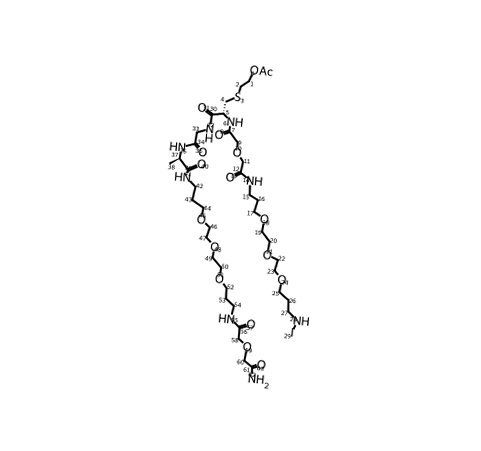 CC(=O)OCCSC[C@H](NC(=O)COCC(=O)NCCCOCCOCCOCCCNI)C(=O)NCC(=O)N[C@H](C)C(=O)NCCCOCCOCCOCCCNC(=O)COCC(N)=O